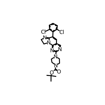 CC(C)(C)OC(=O)N1CCN(c2ncc3c(n2)N2CCN=C2C(c2c(Cl)cccc2Cl)=C3)CC1